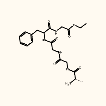 CCOC(=O)CNC(=O)C(Cc1ccccc1)NC(=O)CNC(=O)CNC(=O)[C@H](C)N